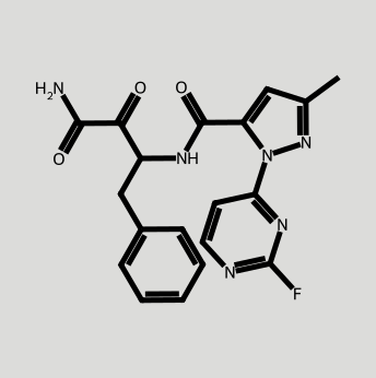 Cc1cc(C(=O)NC(Cc2ccccc2)C(=O)C(N)=O)n(-c2ccnc(F)n2)n1